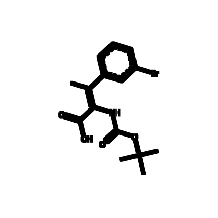 CC(=C(NC(=O)OC(C)(C)C)C(=O)O)c1cccc(Br)c1